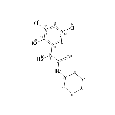 O=C(NC1CCCCC1)N(S)c1cc(Cl)cc(Cl)c1O